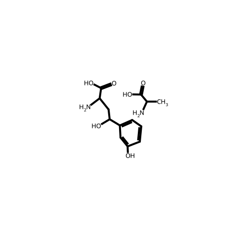 CC(N)C(=O)O.NC(CC(O)c1cccc(O)c1)C(=O)O